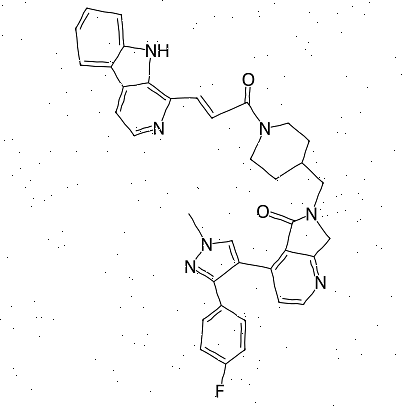 Cn1cc(-c2ccnc3c2C(=O)N(CC2CCN(C(=O)/C=C/c4nccc5c4[nH]c4ccccc45)CC2)C3)c(-c2ccc(F)cc2)n1